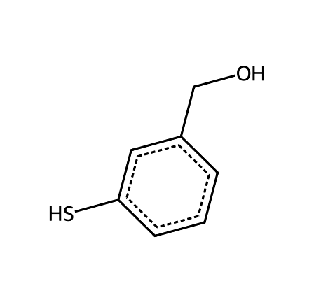 OCc1cccc(S)c1